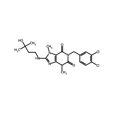 Cn1c(NCCC(C)(C)O)nc2c1c(=O)n(Cc1ccc(Cl)c(Cl)c1)c(=O)n2C